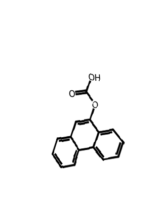 O=C(O)Oc1cc2ccccc2c2ccccc12